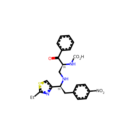 CCc1nc([C@H](Cc2ccc([N+](=O)[O-])cc2)NC[C@H](NC(=O)O)C(=O)c2ccccc2)cs1